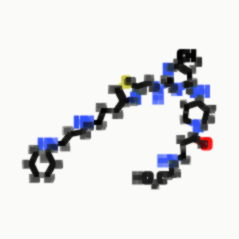 Cc1cc(NC2CCN(C(=O)CCNCC(=O)O)CC2)nc(NCc2nc(CCCNCCCNC3CCCCC3)cs2)n1